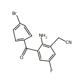 N#CCc1cc(F)cc(C(=O)c2ccc(Br)cc2)c1N